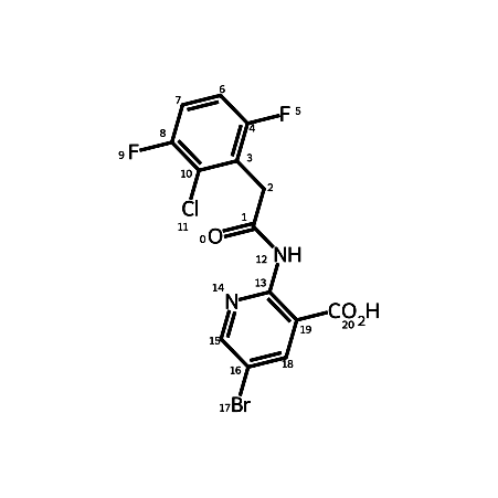 O=C(Cc1c(F)ccc(F)c1Cl)Nc1ncc(Br)cc1C(=O)O